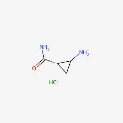 Cl.NC(=O)[C@H]1CC1N